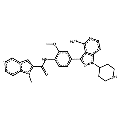 COc1cc(-c2nn(C3CCNCC3)c3ncnc(N)c23)ccc1NC(=O)c1cc2cnccc2n1C